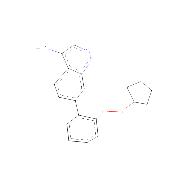 Nc1cnnc2cc(-c3c[c]ccc3OOC3CCCC3)ccc12